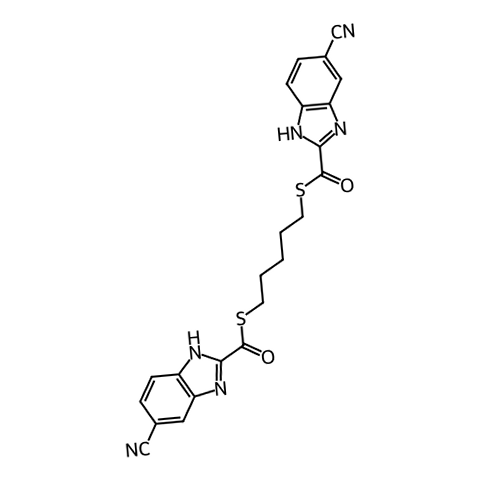 N#Cc1ccc2[nH]c(C(=O)SCCCCCSC(=O)c3nc4cc(C#N)ccc4[nH]3)nc2c1